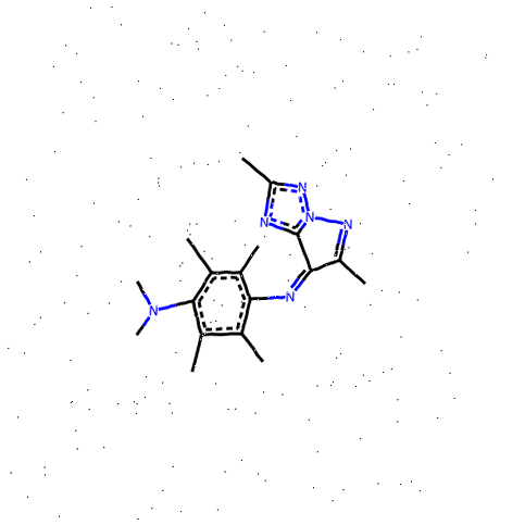 CC1=Nn2nc(C)nc2C1=Nc1c(C)c(C)c(N(C)C)c(C)c1C